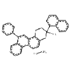 CO.NC1(c2cccc3ccccc23)CCc2c(ccc3c2cc(-c2ccccc2)c2ccccc23)C1